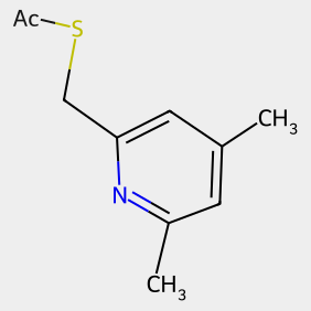 CC(=O)SCc1cc(C)cc(C)n1